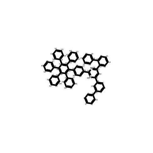 c1ccc(-c2cccc(-c3cc(-c4ccccc4-c4ccccc4)nc(-c4ccc(-c5c(-c6ccccc6)c(-c6ccccc6)c(-c6ccccc6)c(-c6ccccc6)c5-c5ccccc5)cc4)n3)c2)cc1